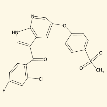 CS(=O)(=O)c1ccc(Oc2cnc3[nH]cc(C(=O)c4ccc(F)cc4Cl)c3c2)cc1